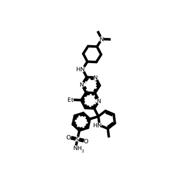 CCc1cc(C2(c3cccc(S(N)(=O)=O)c3)C=CC=C(C)N2)nc2cnc(NC3CCC(N(C)C)CC3)nc12